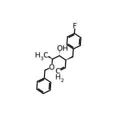 C=C[C@H](Cc1ccc(F)cc1)[C@@H](O)[C@H](C)OCc1ccccc1